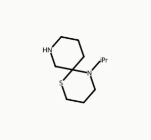 CC(C)N1CCCSC12CCCNC2